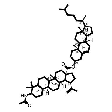 C=C(C)[C@@H]1CC[C@]2(C(=O)O[C@H]3CC[C@@]4(C)C(=CC[C@H]5[C@@H]6CC[C@H]([C@H](C)CCCC(C)C)[C@@]6(C)CC[C@@H]54)C3)CC[C@]3(C)[C@H](CC[C@@H]4[C@@]5(C)CCC(NC(C)=O)C(C)(C)C5CC[C@]43C)C12